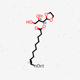 CCCCCCCC/C=C\CCCCCCCC(=O)O[C@@H](C1OCCO1)[C@H](O)CO